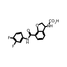 O=C(O)NC1COc2c(C(=O)Nc3ccc(F)c(F)c3)cccc21